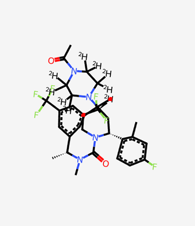 [2H]C1([2H])N(C(C)=O)C([2H])([2H])C([2H])([2H])N([C@@]2([2H])CCN(C(=O)N(C)[C@H](C)c3cc(C(C)(F)F)cc(C(F)(F)F)c3)[C@@H](c3ccc(F)cc3C)C2)C1([2H])[2H]